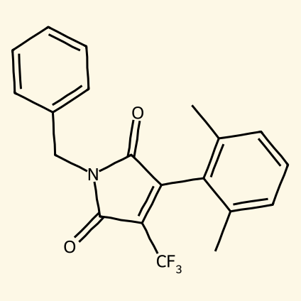 Cc1cccc(C)c1C1=C(C(F)(F)F)C(=O)N(Cc2ccccc2)C1=O